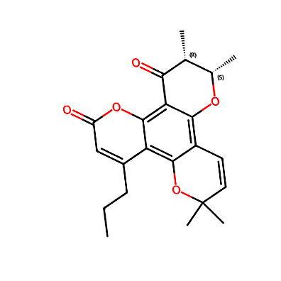 CCCc1cc(=O)oc2c3c(c4c(c12)OC(C)(C)C=C4)O[C@@H](C)[C@@H](C)C3=O